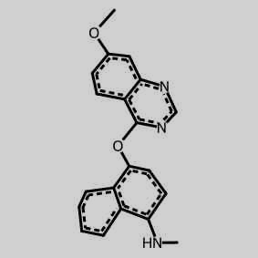 CNc1ccc(Oc2ncnc3cc(OC)ccc23)c2ccccc12